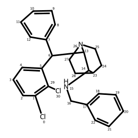 Clc1cccc(C(c2ccccc2)C2C(NCc3ccccc3)C3CCN2CC3)c1Cl